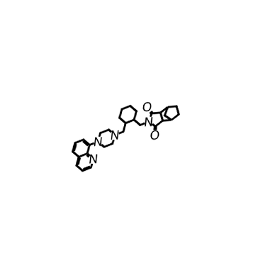 O=C1C2C3CCC(C3)C2C(=O)N1CC1CCCCC1CN1CCN(c2cccc3cccnc23)CC1